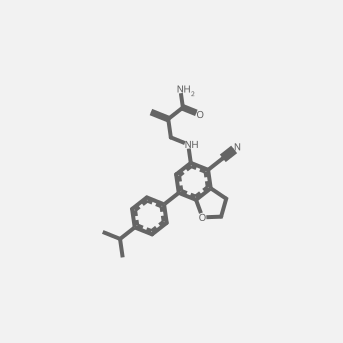 C=C(CNc1cc(-c2ccc(C(C)C)cc2)c2c(c1C#N)CCO2)C(N)=O